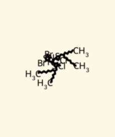 CCCCCCCCC(CCCCCC)Cc1sc(-c2nc3c(Br)sc(Br)c3nc2-c2cc(Cl)c(CC(CCCCCC)CCCCCCCC)s2)cc1Cl